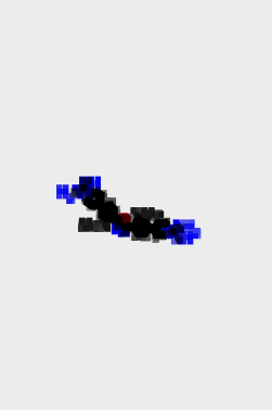 CNc1cc(C2=CCN(C(=N)N)CC2)ccc1-c1nnc(-c2ccc(C3=CCN(C(=N)N)CC3)cc2NC)o1